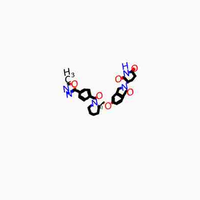 Cc1nnc(-c2ccc(C(=O)N3CCCC[C@@H]3COc3ccc4c(c3)CN(C3CCC(=O)NC3=O)C4=O)cc2)o1